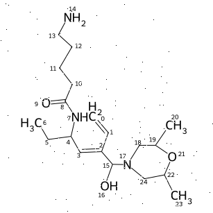 C=C/C(=C\C(CC)NC(=O)CCCCN)C(O)N1CC(C)OC(C)C1